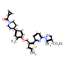 CCOC(=O)c1cnn(-c2cccc(-c3sc(C)cc3COc3ccc(C4CCN(C(=O)C5CC5)CC4)cc3C(F)(F)F)n2)c1C(F)(F)F